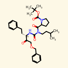 CC(C)CCN(C(=O)N[C@@H](CCc1ccccc1)C(=O)COCc1ccccc1)C(=O)C1CCCN1C(=O)OC(C)(C)C